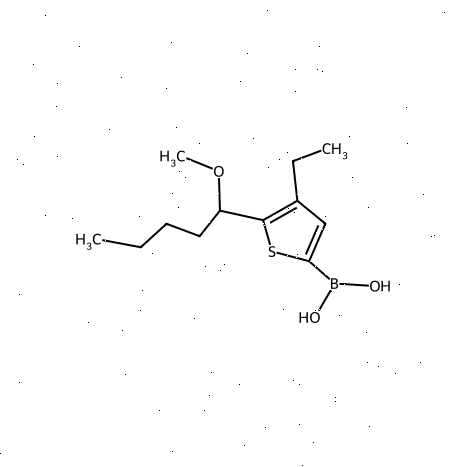 CCCCC(OC)c1sc(B(O)O)cc1CC